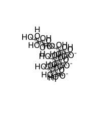 O=C([O-])[C@H](O)[C@@H](O)[C@H](O)[C@H](O)CO.O=C([O-])[C@H](O)[C@@H](O)[C@H](O)[C@H](O)CO.O=C([O-])[C@H](O)[C@@H](O)[C@H](O)[C@H](O)CO.O=C([O-])[C@H](O)[C@@H](O)[C@H](O)[C@H](O)CO.[Hf+4]